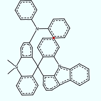 C[Si]1(C)c2ccccc2C2(c3ccccc3-n3c4ccccc4c4cccc2c43)c2cc(N(c3ccccc3)c3ccccc3)ccc21